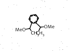 COC(C)c1ccccc1C(C)OC